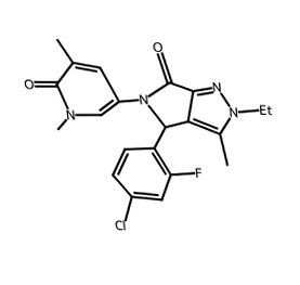 CCn1nc2c(c1C)C(c1ccc(Cl)cc1F)N(c1cc(C)c(=O)n(C)c1)C2=O